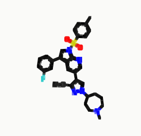 COc1nn(C2CCCN(C)CC2)cc1-c1cnc2c(c1)c(-c1cccc(F)c1)cn2S(=O)(=O)c1ccc(C)cc1